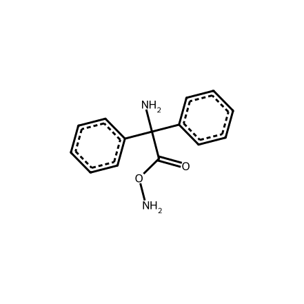 NOC(=O)C(N)(c1ccccc1)c1ccccc1